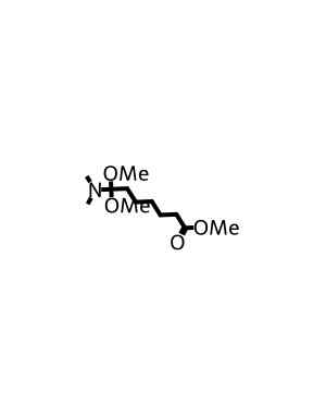 COC(=O)CCCCCC(OC)(OC)N(C)C